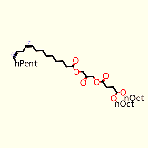 CCCCC/C=C\C/C=C\CCCCCCCC(=O)OCC(=O)COC(=O)CCC(OCCCCCCCC)OCCCCCCCC